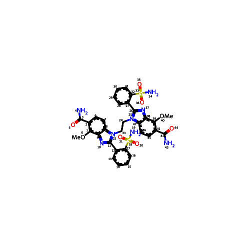 COc1c(C(N)=O)ccc2c1nc(-c1ccccc1S(N)(=O)=O)n2CCn1c(-c2ccccc2S(N)(=O)=O)nc2c(OC)c(C(N)=O)ccc21